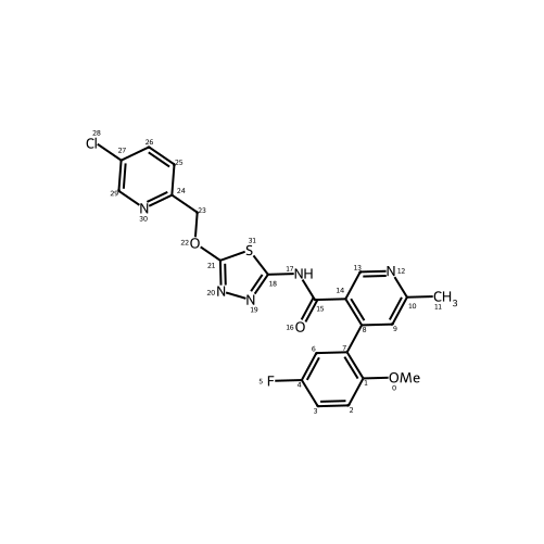 COc1ccc(F)cc1-c1cc(C)ncc1C(=O)Nc1nnc(OCc2ccc(Cl)cn2)s1